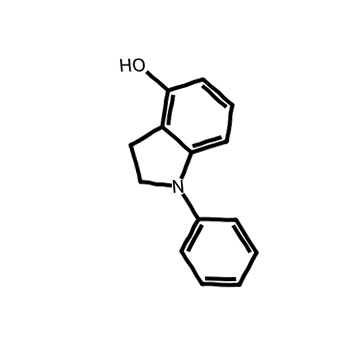 Oc1cccc2c1CCN2c1ccccc1